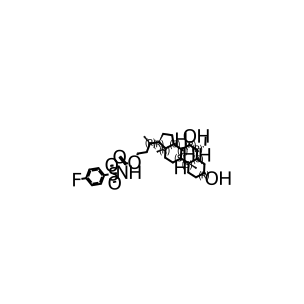 CC[C@H]1[C@@H](O)[C@@H]2[C@H](CC[C@]3(C)[C@@H]([C@H](C)CCOC(=O)NS(=O)(=O)c4ccc(F)cc4)CC[C@@H]23)[C@@]2(C)CC[C@@H](O)C[C@@H]12